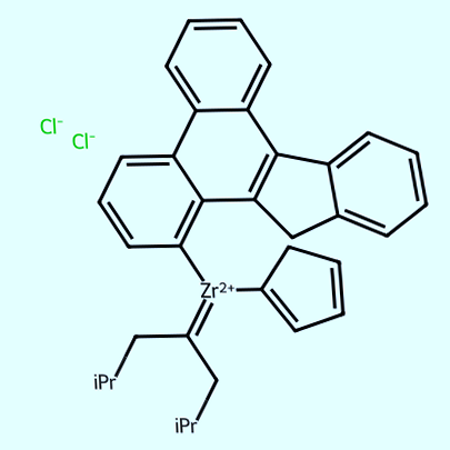 CC(C)C[C](CC(C)C)=[Zr+2]([C]1=CC=CC1)[c]1cccc2c1c1c(c3ccccc32)-c2ccccc2C1.[Cl-].[Cl-]